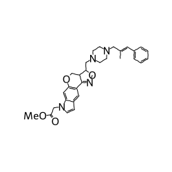 COC(=O)Cn1ccc2cc3c(cc21)OCC1C3=NOC1CN1CCN(C/C(C)=C/c2ccccc2)CC1